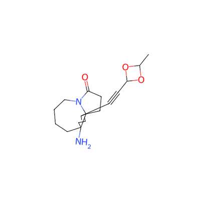 CC1OC(C#CC2=CCC3(N)CCCCN4C(=O)CCC243)O1